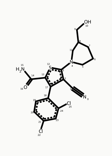 N#Cc1c(N2CCCC(CO)C2)sc(C(N)=O)c1-c1ccc(Cl)cc1Cl